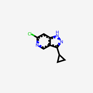 Clc1cc2[nH]nc(C3CC3)c2cn1